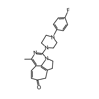 CC1=C2C=CC(=O)CC3=C2N(CC3)C(N2CCN(c3ccc(F)cc3)CC2)=N1